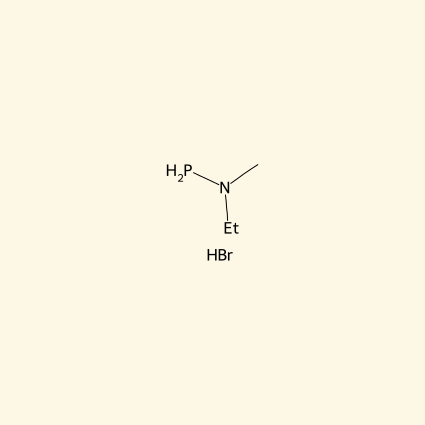 Br.CCN(C)P